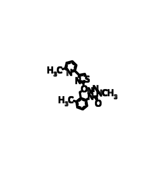 Cc1cccc(-c2csc(OCc3c(C)cccc3-n3nnn(C)c3=O)n2)n1